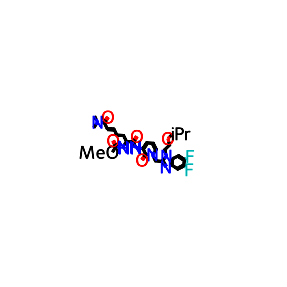 COC(=O)NC(CCC=CC(=O)N(C)C)C(=O)Nc1cccn(Cc2nc3cc(F)c(F)cc3n2CCOC(C)C)c1=O